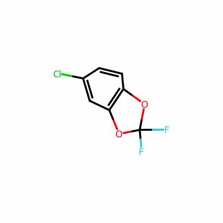 FC1(F)Oc2ccc(Cl)cc2O1